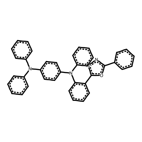 c1ccc(-c2nnc(-c3ccccc3N(c3ccccc3)c3ccc(N(c4ccccc4)c4ccccc4)cc3)o2)cc1